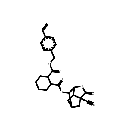 C=Cc1ccc(COC(=O)C2CCCCC2C(=O)OC2C3CC4C2OC(=O)C4(C#N)C3)cc1